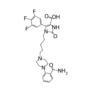 NC(=O)c1ccccc1N1CCN(CCCCCn2c(-c3cc(F)c(F)c(F)c3)c(C(=O)O)[nH]c2=O)CC1